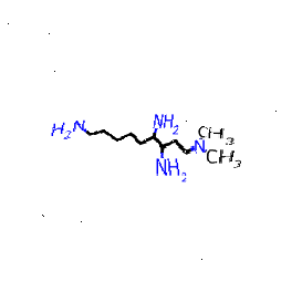 CN(C)CCC(N)C(N)CCCCCN